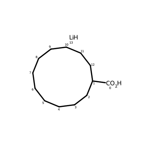 O=C(O)C1CCCCCCCCCCC1.[LiH]